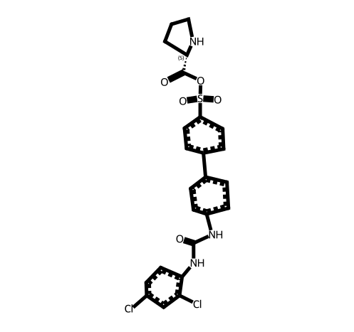 O=C(Nc1ccc(-c2ccc(S(=O)(=O)OC(=O)[C@@H]3CCCN3)cc2)cc1)Nc1ccc(Cl)cc1Cl